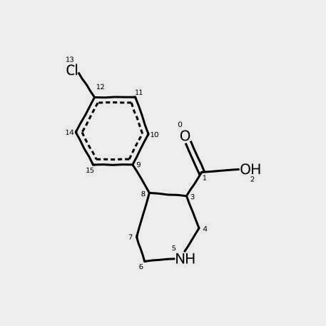 O=C(O)C1CNCCC1c1ccc(Cl)cc1